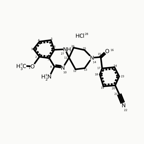 COc1cccc2c1C(N)=NC1(CCN(C(=O)c3ccc(C#N)cc3)CC1)N2.Cl